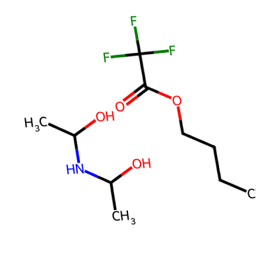 CC(O)NC(C)O.CCCCOC(=O)C(F)(F)F